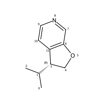 CC(C)[C@H]1COc2cnccc21